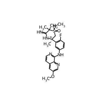 CN=S1(=O)C[C@@](C)(c2cc(Nc3nccc4cc(OC)cnc34)ccc2F)NC(=N)C1(C)C